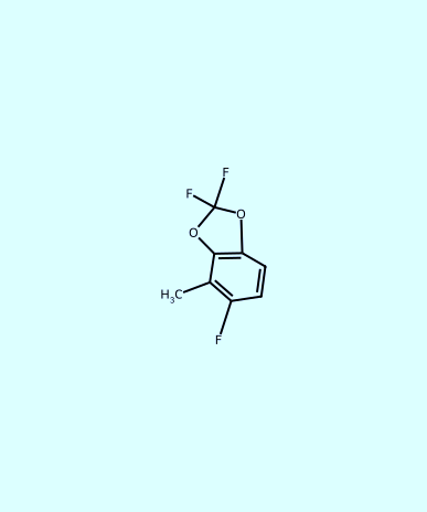 Cc1c(F)ccc2c1OC(F)(F)O2